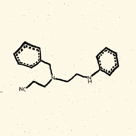 N#CCCN(CCNc1ccccc1)Cc1ccccc1